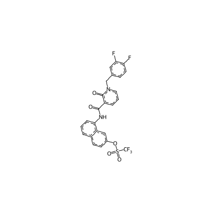 O=C(Nc1cccc2ccc(OS(=O)(=O)C(F)(F)F)cc12)c1cccn(Cc2ccc(F)c(F)c2)c1=O